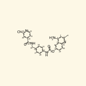 Cc1cc(N)c2cc(OC(=O)Nc3ccc(CNC(=O)c4ccnc(Cl)c4)cc3)ccc2n1